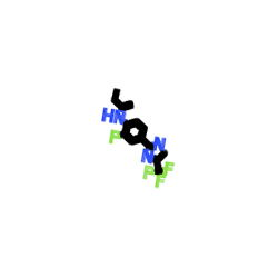 C=C(CC)Nc1ccc(C2=NCC(C(F)(F)F)=N2)cc1F